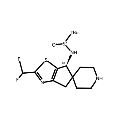 CC(C)(C)[S+]([O-])N[C@@H]1c2sc(C(F)F)nc2CC12CCNCC2